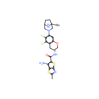 Cc1nc2sc(C(=O)N[C@H]3COc4cc(N5CC6CCC(C(C)(C)C)(C5)N6)c(F)c(F)c4C3)c(N)c2s1